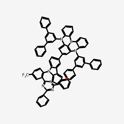 FC(F)(F)c1ccc(-n2c3ccccc3c3cc(-c4cc5c6c(c4)N(c4cc(-c7ccccc7)cc(-c7ccccc7)c4)c4ccccc4B6c4ccccc4N5c4cc(-c5ccccc5)cc(-c5ccccc5)c4)ccc32)c(-c2nc(-c3ccccc3)nc(-c3ccccc3)n2)c1